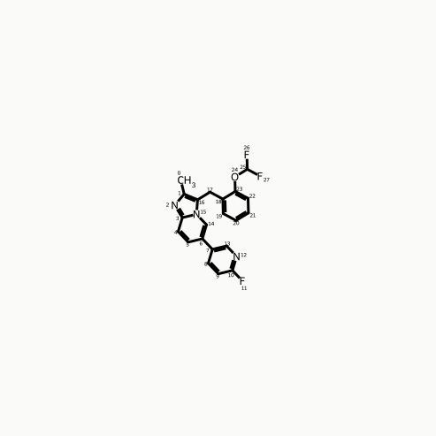 Cc1nc2ccc(-c3ccc(F)nc3)cn2c1Cc1ccccc1OC(F)F